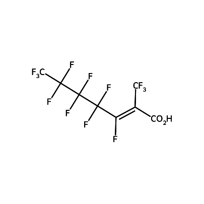 O=C(O)C(=C(F)C(F)(F)C(F)(F)C(F)(F)C(F)(F)F)C(F)(F)F